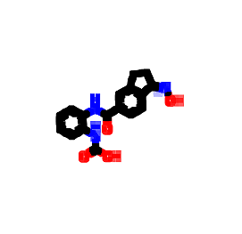 O=C(O)Nc1ccccc1NC(=O)c1ccc2c(c1)CC/C2=N/O